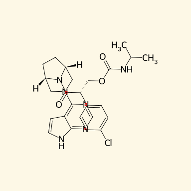 CC(C)NC(=O)OC[C@@H](C(=O)N1[C@@H]2CC[C@H]1CN(c1ncnc3[nH]ccc13)C2)c1ccc(Cl)cc1